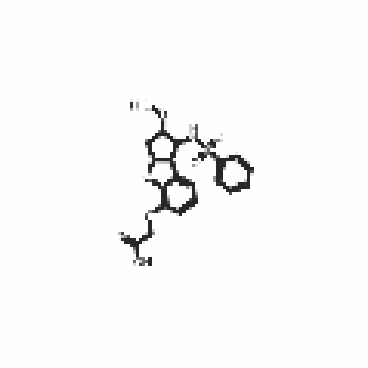 COC1CC2Oc3c(OCC(=O)O)cccc3C2C1NS(=O)(=O)c1ccccc1